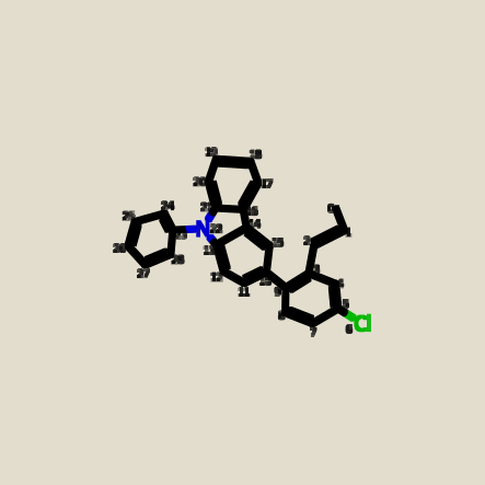 CC=Cc1cc(Cl)ccc1-c1ccc2c(c1)c1ccccc1n2-c1ccccc1